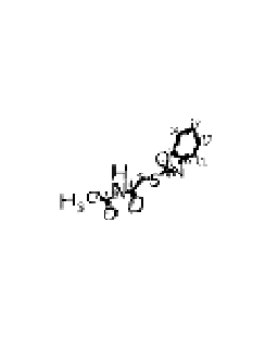 CC(=O)NC(=O)CSc1nc2ccccc2o1